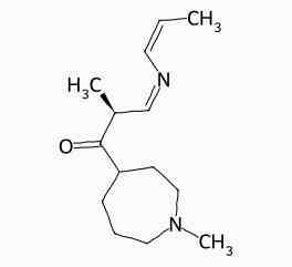 C/C=C\N=C/[C@H](C)C(=O)C1CCCN(C)CC1